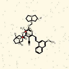 COc1cc(/C=C/c2nc(OC[C@@]34CCCN3C[C@H](F)C4)nc(N3C[C@H]4CC[C@@H](C3)N4C(=O)OC(C)(C)C)c2C#N)c2ccccc2c1